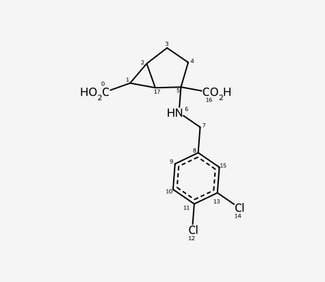 O=C(O)C1C2CCC(NCc3ccc(Cl)c(Cl)c3)(C(=O)O)C21